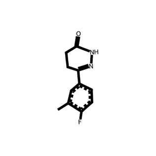 Cc1cc(C2=NNC(=O)CC2)ccc1F